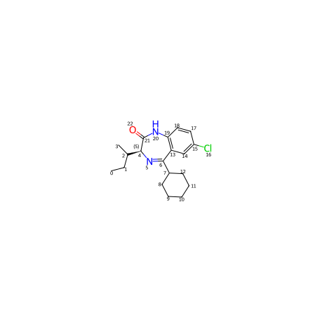 CCC(C)[C@@H]1N=C(C2CCCCC2)c2cc(Cl)ccc2NC1=O